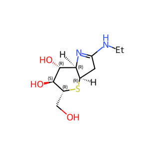 CCNC1=N[C@@H]2[C@@H](O)[C@H](O)[C@@H](CO)S[C@@H]2C1